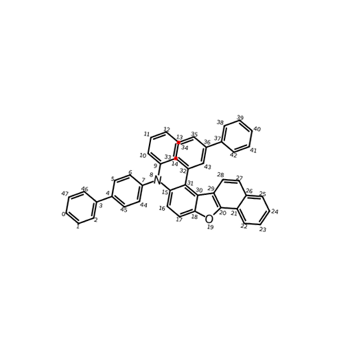 c1ccc(-c2ccc(N(c3ccccc3)c3ccc4oc5c6ccccc6ccc5c4c3-c3cccc(-c4ccccc4)c3)cc2)cc1